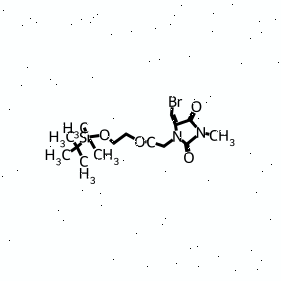 CN1C(=O)C(=CBr)N(CCOCCO[Si](C)(C)C(C)(C)C)C1=O